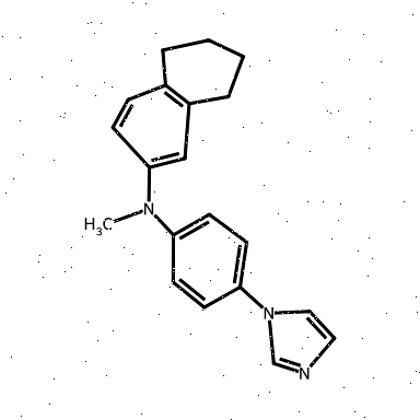 CN(c1ccc(-n2ccnc2)cc1)c1ccc2c(c1)CCCC2